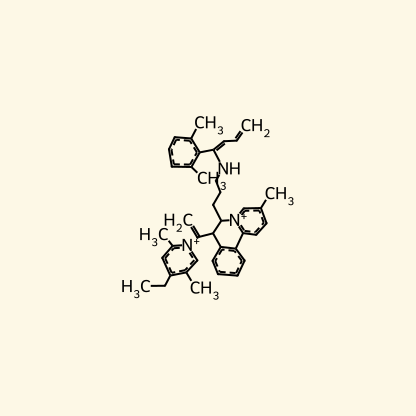 C=C/C=C(\NCCCC1C(C(=C)[n+]2cc(C)c(CC)cc2C)c2ccccc2-c2ccc(C)c[n+]21)c1c(C)cccc1C